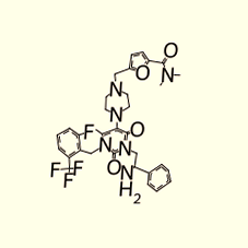 Cc1c(N2CCN(Cc3ccc(C(=O)N(C)C)o3)CC2)c(=O)n(C[C@H](N)c2ccccc2)c(=O)n1Cc1c(F)cccc1C(F)(F)F